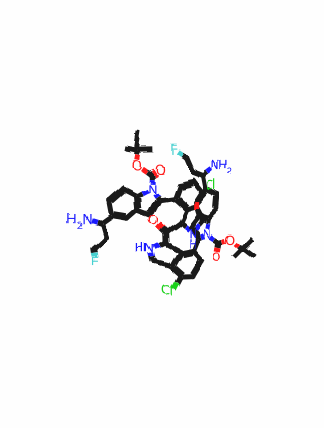 CC(C)(C)OC(=O)n1c(-c2ccc(Cl)c3c2C(C(=O)C2NCc4c(Cl)ccc(-c5cc6cc(C(N)CCF)ccc6n5C(=O)OC(C)(C)C)c42)NC3)cc2cc(C(N)CCF)ccc21